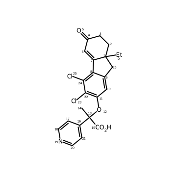 CCC12CCC(=O)C=C1c1c(cc(OC(C)(C(=O)O)c3ccncc3)c(Cl)c1Cl)C2